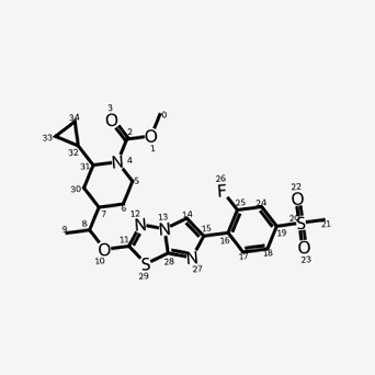 COC(=O)N1CCC(C(C)Oc2nn3cc(-c4ccc(S(C)(=O)=O)cc4F)nc3s2)CC1C1CC1